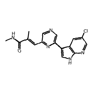 CNC(=O)/C(C)=C/c1cncc(-c2c[nH]c3ncc(Cl)cc23)n1